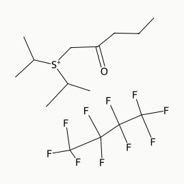 CCCC(=O)C[S+](C(C)C)C(C)C.FC(F)(F)C(F)(F)C(F)(F)C(F)(F)F